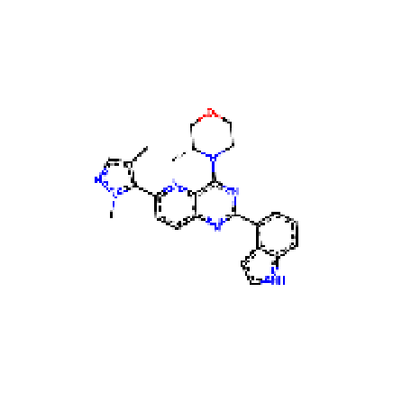 Cc1cnn(C)c1-c1ccc2nc(-c3cccc4[nH]ccc34)nc(N3CCOC[C@H]3C)c2n1